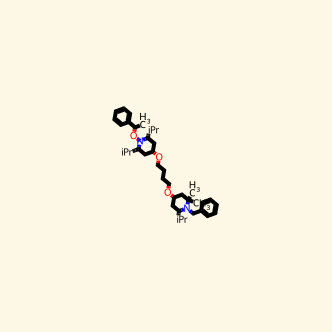 CC(ON1C(C(C)C)CC(OCCCCOC2CC(C(C)C)N(Cc3ccccc3)C(C)(C)C2)CC1C(C)C)c1ccccc1